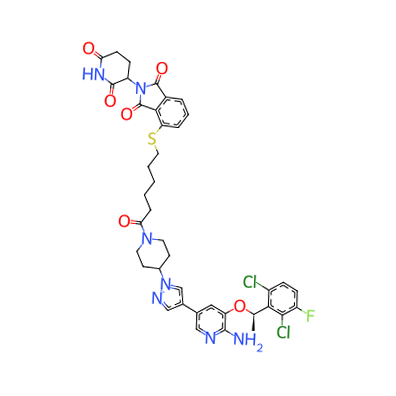 C[C@@H](Oc1cc(-c2cnn(C3CCN(C(=O)CCCCCSc4cccc5c4C(=O)N(C4CCC(=O)NC4=O)C5=O)CC3)c2)cnc1N)c1c(Cl)ccc(F)c1Cl